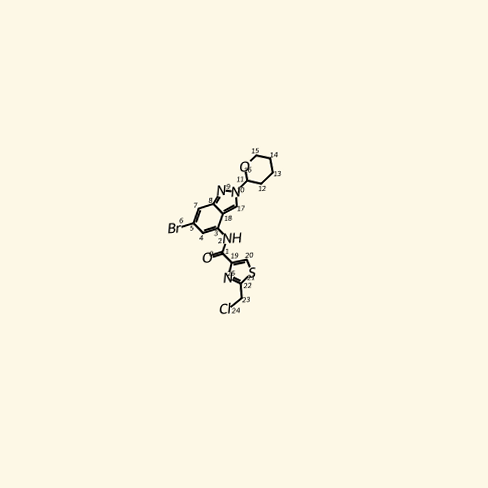 O=C(Nc1cc(Br)cc2nn(C3CCCCO3)cc12)c1csc(CCl)n1